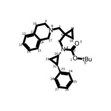 CC(C)(C)OC(=O)N(CC1(CN2CCc3ccccc3C2)CC1)[C@H]1C[C@@H]1c1ccccc1